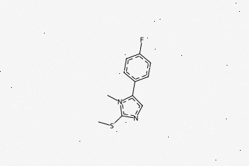 CSc1ncc(-c2ccc(F)cc2)n1C